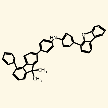 CC1(C)c2cc(-c3ccc(Nc4ccc(-c5cccc6c5oc5ccccc56)cc4)cc3)ccc2-c2c(-c3ccccc3)cccc21